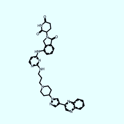 O=C1CCC(N2Cc3c(Nc4ccnc(NCCCN5CCC(n6cc(-c7cnc8ccccc8n7)cn6)CC5)n4)cccc3C2=O)C(=O)N1